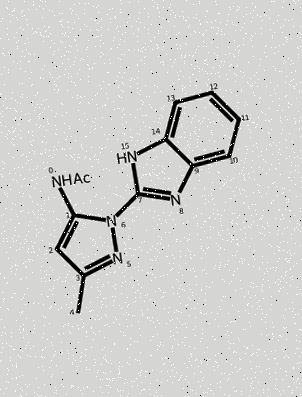 CC(=O)Nc1cc(C)nn1-c1nc2ccccc2[nH]1